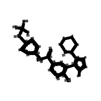 Cc1cnn(C2CCCCO2)c1-c1cc(C(=O)Nc2ccc(OC(F)(F)F)cc2)cnc1Cl